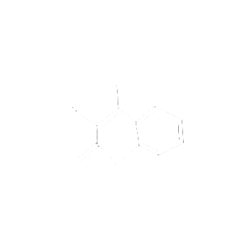 CCc1c(N)c(=O)oc2ccccc12